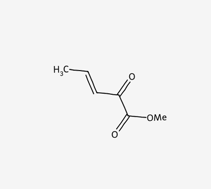 CC=CC(=O)C(=O)OC